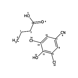 CCCC(=O)O.N#Cc1cc(Cl)c(O)c(Cl)c1